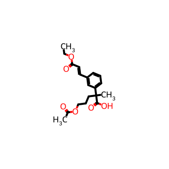 CCOC(=O)/C=C/c1cccc(C(C)(CCCOC(C)=O)C(=O)O)c1